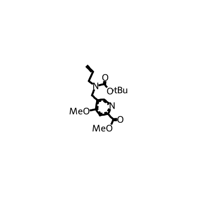 C=CCN(Cc1cnc(C(=O)OC)cc1OC)C(=O)OC(C)(C)C